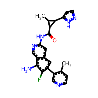 Cc1ccncc1-c1cc2cc(NC(=O)C3C(C)C3c3ccn[nH]3)ncc2c(N)c1F